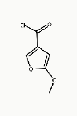 COc1cc(C(=O)Cl)co1